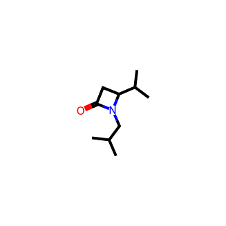 CC(C)CN1C(=O)CC1C(C)C